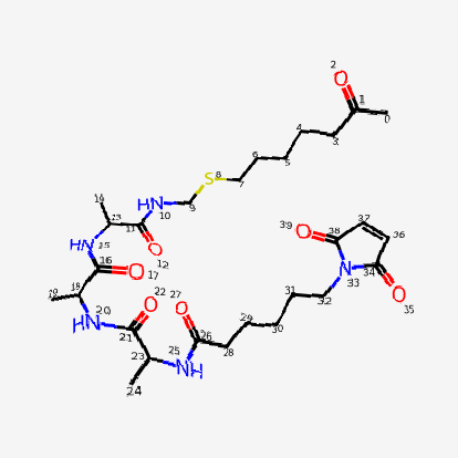 CC(=O)CCCCCSCNC(=O)C(C)NC(=O)C(C)NC(=O)C(C)NC(=O)CCCCCN1C(=O)C=CC1=O